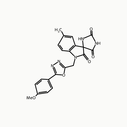 COc1ccc(-c2nnc(CN3C(=O)C4(NC(=O)NC4=O)c4cc(C)ccc43)o2)cc1